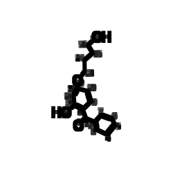 O=C(c1ccccc1)c1ccc(OCCCCO)cc1O